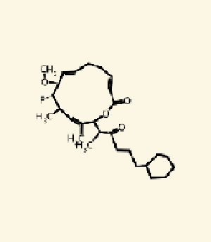 CO[C@H]1/C=C/CC/C=C/C(=O)OC(C(C)C(=O)CCCC2CCCCC2)/C(C)=C\C(C)[C@@H]1F